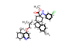 COC(=O)C1(Nc2cccc(Cl)c2)CCC2(CC1)c1ccc(C)cc1C[C@@H]2C[C@@H](C)COc1ccnc2c1[C@H](C)CCC2